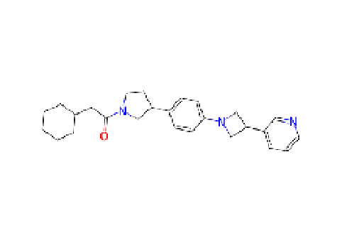 O=C(CC1CCCCC1)N1CCC(c2ccc(N3CC(c4cccnc4)C3)cc2)C1